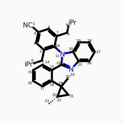 CC(C)Cc1cc(C#N)cc(CC(C)C)c1-n1c(-c2ccccc2C2(C)C[C@@H]2C)nc2ccccc21